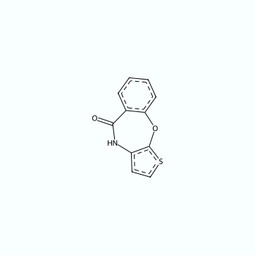 O=C1Nc2ccsc2Oc2ccccc21